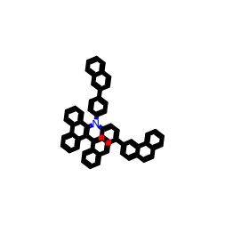 c1ccc2cc(-c3ccc(N(c4ccc(-c5ccc6ccc7ccccc7c6c5)cc4)c4c(-c5cccc6ccccc56)c5ccccc5c5ccccc45)cc3)ccc2c1